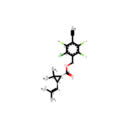 C#Cc1c(F)c(F)c(COC(=O)[C@@H]2[C@@H](C=C(C)C)C2(C)C)c(Cl)c1F